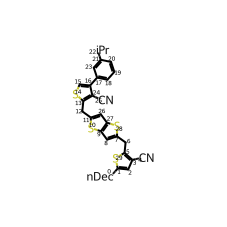 CCCCCCCCCCc1cc(C#N)c(Cc2cc3sc(Cc4scc(-c5cccc(C(C)C)c5)c4C#N)cc3s2)s1